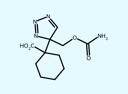 NC(=O)OCC1(C2(C(=O)O)CCCCC2)C=NN=N1